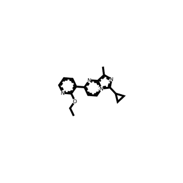 CCOc1ncccc1-c1ccn2c(C3CC3)nc(C)c2n1